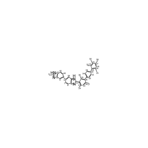 Cc1nc2cc(-c3ccc4nc(-c5c(C)cc(C)c(-c6ccc(-c7c(C)cc(C)c(C)c7C)cc6)c5C)[nH]c4c3)ccc2[nH]1